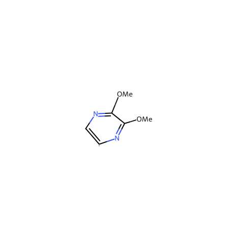 COc1n[c]cnc1OC